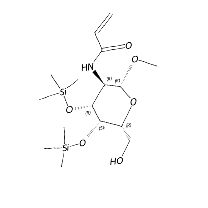 C=CC(=O)N[C@H]1[C@H](OC)O[C@H](CO)[C@H](O[Si](C)(C)C)[C@@H]1O[Si](C)(C)C